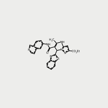 CCOC(=O)c1cc2n(n1)C(c1nc3ccccc3s1)C(C(=O)Nc1ccc3cnccc3c1)=C(C)N2